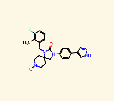 Cc1c(F)cccc1CN1C(=O)N(c2ccc(-c3cn[nH]c3)cc2)CC12CCN(C)CC2